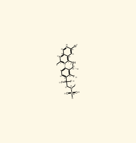 Cc1nc(N[C@H](C)c2cccc(C(F)(F)CN(C)S(C)(=O)=O)c2F)c2cc(Br)ncc2n1